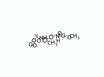 COCCOCC(=O)NCc1ccc(-c2cc(NC(=O)C3(c4ccc5c(c4)OCO5)CC3)ccc2C)cc1